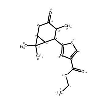 CCOC(=O)c1csc(C2C(C)C(=O)CC3C2C3(C)C)n1